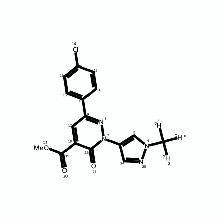 [2H]C([2H])([2H])n1cc(-n2nc(-c3ccc(Cl)cc3)cc(C(=O)OC)c2=O)cn1